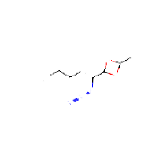 CCOC(=O)CCC[C@@H](N=[N+]=[N-])C1OC(C)O1